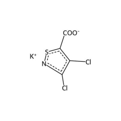 O=C([O-])c1snc(Cl)c1Cl.[K+]